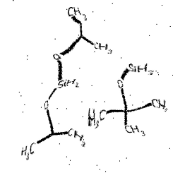 CC(C)(C)O[SiH3].CC(C)O[SiH2]OC(C)C